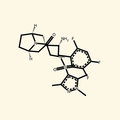 Cc1nn(C)c(C)c1S(=O)(=O)NCC(=O)N1[C@@H]2CC[C@H]1C[C@H]([C@H](N)Cc1cc(F)c(F)cc1F)C2